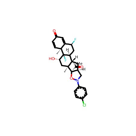 COC(=O)[C@@]12ON(c3ccc(Cl)cc3)C[C@@H]1C[C@H]1[C@@H]3C[C@H](F)C4=CC(=O)C=C[C@]4(C)[C@@]3(F)[C@@H](O)C[C@@]12C